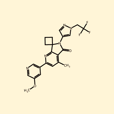 COc1cncc(-c2cc(C)c3c(n2)C2(CCC2)N(c2cnn(CC(F)(F)F)c2)C3=O)c1